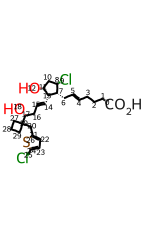 O=C(O)CCCC=CC[C@H]1C(Cl)C[C@@H](O)[C@H]1C=CCC(O)C1(Cc2ccc(Cl)s2)CCC1